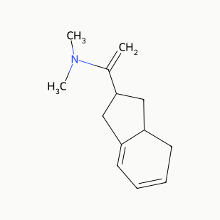 C=C(C1CC2=CC=CCC2C1)N(C)C